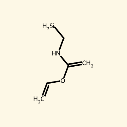 C=COC(=C)NC[SiH3]